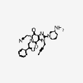 CC#CCn1c(N2CCCC(N)C2)nc2c(=O)n(CC#N)n(CC(=O)c3ccccc3)c(=O)c21